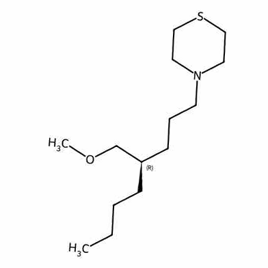 CCCC[C@H](CCCN1CCSCC1)COC